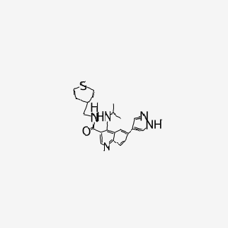 CC(C)Nc1c(C(=O)NCC2CCSCC2)cnc2ccc(-c3cn[nH]c3)cc12